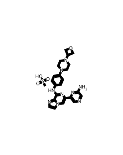 CS(=O)(=O)O.Nc1cncc(-c2cn3ccnc3c(Nc3ccc(N4CCN(C5COC5)CC4)cc3)n2)n1